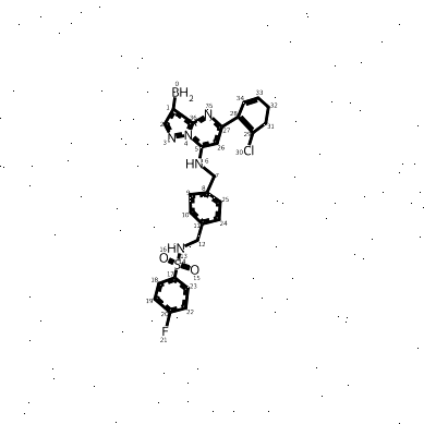 Bc1cnn2c(NCc3ccc(CNS(=O)(=O)c4ccc(F)cc4)cc3)cc(C3=C(Cl)CCC=C3)nc12